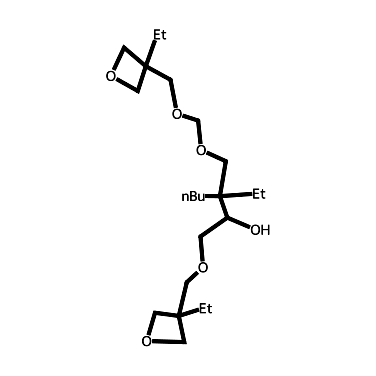 CCCCC(CC)(COCOCC1(CC)COC1)C(O)COCC1(CC)COC1